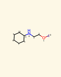 IOCCNC1CCCCC1